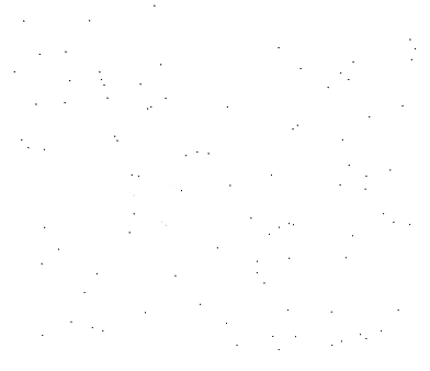 O=C(CCC(=O)c1ncccn1)c1ccc2c(c1)OCCO2